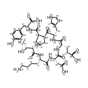 C[C@@H](O)[C@H](N)C(=O)N[C@@H](CCCCN)C(=O)N[C@@H](CC(=O)O)C(=O)N[C@@H](CCC(=O)O)C(=O)N[C@@H](Cc1c[nH]cn1)C(=O)N1CCC[C@H]1C(=O)N[C@@H](Cc1ccc(O)cc1)C(=O)O